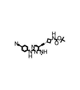 CNc1nc(Nc2ccc(C#N)cc2)ncc1C#C[C@H]1C[C@@H](NC(=O)OC(C)(C)C)C1